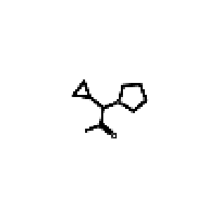 CC(=O)C(C1CC1)N1CCCC1